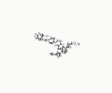 CC1(C)COC2(CC=C(c3cnc(-c4ccc(CC(NC(=O)c5ccc(C(C)(C)C)s5)C(=O)N5CC(C(=O)O)C5)cc4)nc3)CC2)OC1